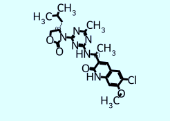 COc1cc2[nH]c(=O)c([C@H](C)Nc3nc(C)nc(N4C(=O)OC[C@@H]4CC(C)C)n3)cc2cc1Cl